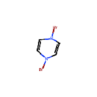 BrN1C=CN(Br)C=C1